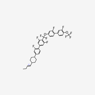 CC/C=C/C1CCC(c2ccc(-c3cc(F)c(C(F)(F)Oc4ccc(-c5ccc(OC(F)(F)F)c(F)c5)c(F)c4)c(F)c3)c(F)c2)CC1